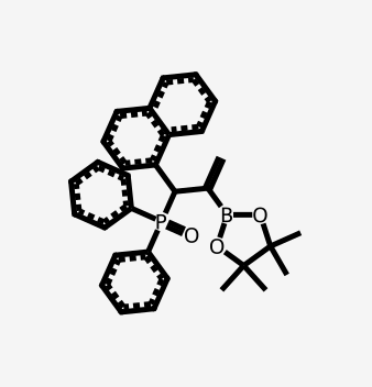 C=C(B1OC(C)(C)C(C)(C)O1)C(c1cccc2ccccc12)P(=O)(c1ccccc1)c1ccccc1